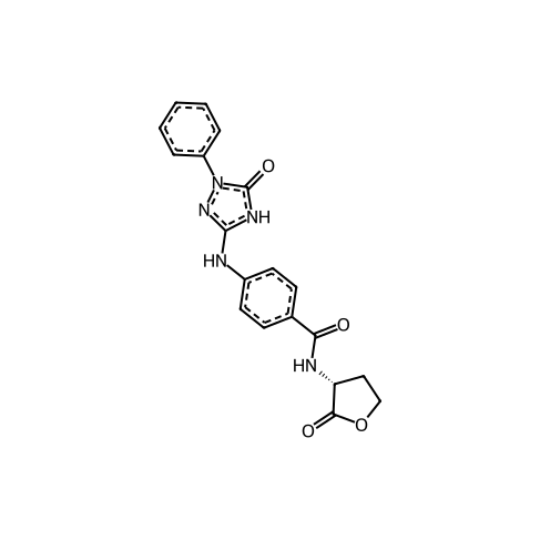 O=C(N[C@@H]1CCOC1=O)c1ccc(Nc2nn(-c3ccccc3)c(=O)[nH]2)cc1